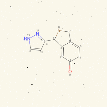 O=C1C=C2C(=CC1)CSC2c1cc[nH]n1